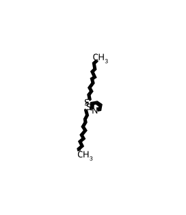 CCCCCCCCCCCCSSCCCCCCCCCCCC.c1ccncc1